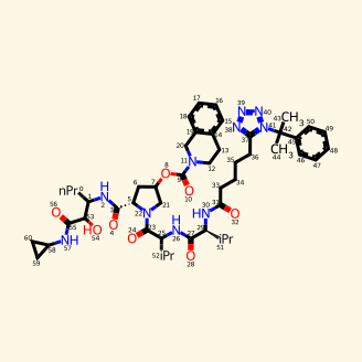 CCCC(NC(=O)[C@@H]1CC(OC(=O)N2CCc3ccccc3C2)CN1C(=O)C(NC(=O)[C@@H](NC(=O)CCCCc1nnnn1C(C)(C)c1ccccc1)C(C)C)C(C)C)C(O)C(=O)NC1CC1